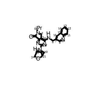 CC(C)N1Cc2c(NCc3cnc4ccccc4c3)nc(N3CC4C[C@H]3CO4)nc2C1=O